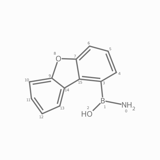 NB(O)c1cccc2oc3ccccc3c12